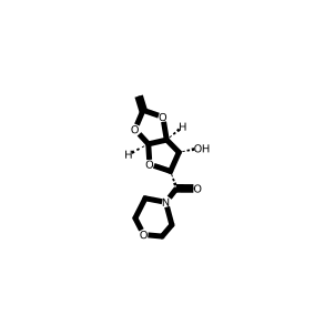 C=C1O[C@@H]2O[C@@H](C(=O)N3CCOCC3)[C@@H](O)[C@@H]2O1